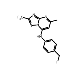 Cc1cc(Nc2ccc(CF)cc2)n2nc(C(F)(F)F)nc2n1